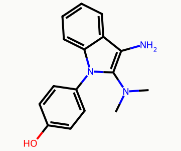 CN(C)c1c(N)c2ccccc2n1-c1ccc(O)cc1